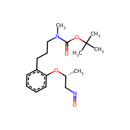 C[C@H](CN=O)Oc1ccccc1CCCN(C)C(=O)OC(C)(C)C